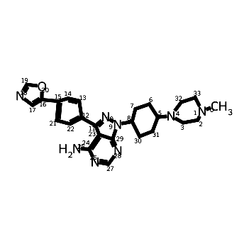 CN1CCN(C2CCC(n3nc(-c4ccc(-c5cnco5)cc4)c4c(N)ncnc43)CC2)CC1